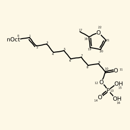 CCCCCCCCC=CCCCCCCCC(=O)OP(=O)(O)O.Cc1ccco1